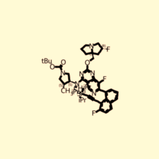 CC(C)[Si](C#Cc1c(F)ccc2cccc(-c3ncc4c(N(C)[C@@H]5CN(C(=O)OC(C)(C)C)C[C@@H]5C)nc(OC[C@@]56CCCN5C[C@H](F)C6)nc4c3F)c12)(C(C)C)C(C)C